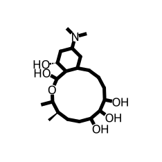 CC1OC(O)C2C(CCCC(O)C(O)C(O)CC[C@H]1C)CC(N(C)C)C[C@H]2O